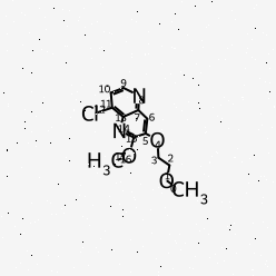 COCCOc1cc2nccc(Cl)c2nc1OC